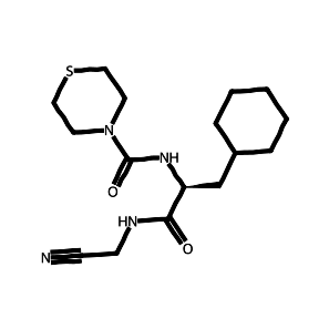 N#CCNC(=O)[C@H](CC1CCCCC1)NC(=O)N1CCSCC1